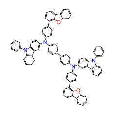 C1=Cc2c(c3cc(N(c4ccc(-c5ccc(N(c6ccc(-c7cccc8c7oc7ccccc78)cc6)c6ccc7c(c6)c6ccccc6n7-c6ccccc6)cc5)cc4)c4ccc(-c5cccc6c5oc5ccccc56)cc4)ccc3n2-c2ccccc2)CC1